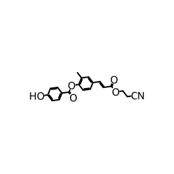 Cc1cc(/C=C/C(=O)OCCC#N)ccc1OC(=O)c1ccc(O)cc1